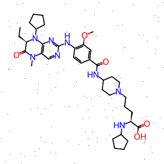 CC[C@@H]1C(=O)N(C)c2cnc(Nc3ccc(C(=O)NC4CCN(CCC[C@H](NC5CCCC5)C(=O)O)CC4)cc3OC)nc2N1C1CCCC1